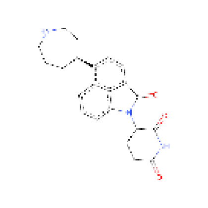 O=C1CCC(N2C(=O)c3ccc([C@H]4CCCNCC4)c4cccc2c34)C(=O)N1